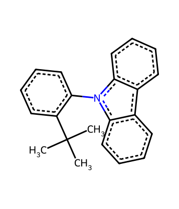 CC(C)(C)c1ccccc1-n1c2ccccc2c2ccccc21